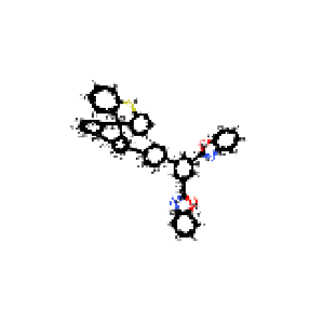 c1ccc2c(c1)Sc1ccccc1C21c2ccccc2-c2ccc(-c3ccc(-c4cc(-c5nc6ccccc6o5)cc(-c5nc6ccccc6o5)c4)cc3)cc21